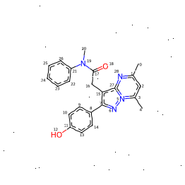 Cc1cc(C)n2nc(-c3ccc(O)cc3)c(CC(=O)N(C)c3ccccc3)c2n1